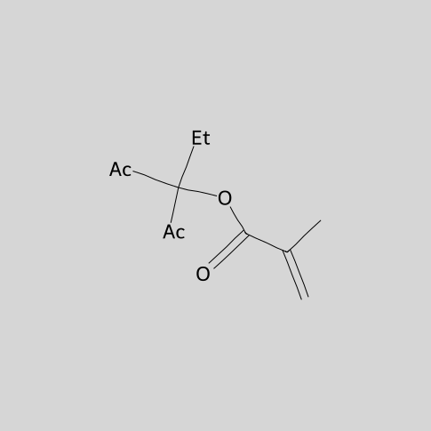 C=C(C)C(=O)OC(CC)(C(C)=O)C(C)=O